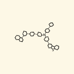 c1ccc(-c2ccc(N(c3ccc(-c4ccc(-c5cccc(-c6cccc7ccccc67)c5)cc4)cc3)c3ccc(-c4ccc5sc6ccccc6c5c4)cc3)cc2)cc1